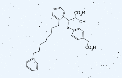 O=C(O)Cc1ccc(S[C@H](c2ccccc2CCCCCCCCc2ccccc2)[C@@H](O)C(=O)O)cc1